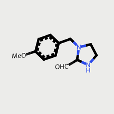 COc1ccc(CN2CCNC2C=O)cc1